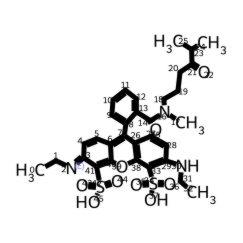 CC/N=c1\ccc2c(-c3ccccc3C(=O)N(C)CCCC(=O)C(C)C)c3ccc(NCC)c(S(=O)(=O)O)c3oc-2c1S(=O)(=O)O